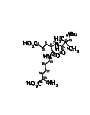 CC(C)(C)CC(C)(C)C(=O)NC(CCC(=O)O)C(=O)NCCCCC(N)C(=O)O